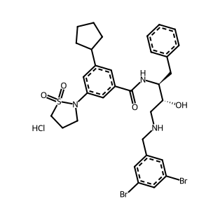 Cl.O=C(N[C@@H](Cc1ccccc1)[C@H](O)CNCc1cc(Br)cc(Br)c1)c1cc(C2CCCC2)cc(N2CCCS2(=O)=O)c1